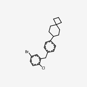 Clc1ccc(Br)cc1Cc1ccc(C2CCC3(CCC3)CC2)cc1